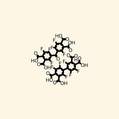 O=C(O)c1c(F)c(F)c(-c2c(F)c(F)c(C(=O)O)c(C(=O)O)c2F)c(F)c1C(=O)O.O=C(c1c(F)c(F)c(C(=O)O)c(C(=O)O)c1F)c1c(F)c(F)c(C(=O)O)c(C(=O)O)c1F